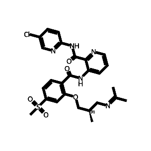 CC(C)=NC[C@@H](C)COc1cc(S(C)(=O)=O)ccc1C(=O)Nc1cccnc1C(=O)Nc1ccc(Cl)cn1